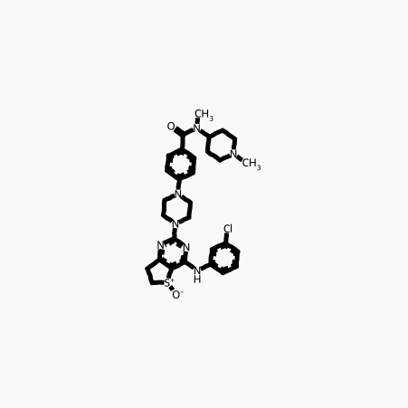 CN1CCC(N(C)C(=O)c2ccc(N3CCN(c4nc5c(c(Nc6cccc(Cl)c6)n4)[S+]([O-])CC5)CC3)cc2)CC1